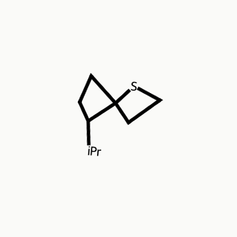 CC(C)C1CCC12CCS2